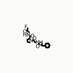 O=C(CF)CNC(=O)C1CCCN1C(=O)CNC(=O)OCc1ccccc1